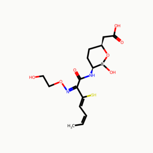 C\C=C/C=C(S)/C(=N/OCCO)C(=O)N[C@H]1CC[C@@H](CC(=O)O)OB1O